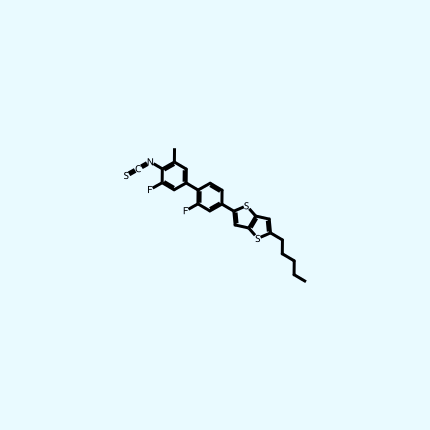 CCCCCc1cc2sc(-c3ccc(-c4cc(C)c(N=C=S)c(F)c4)c(F)c3)cc2s1